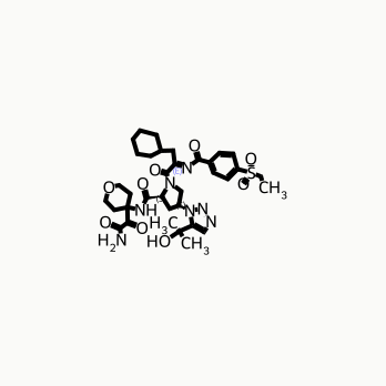 CCS(=O)(=O)c1ccc(C(=O)/N=C(\CC2CCCCC2)C(=O)N2C[C@@H](n3nncc3C(C)(C)O)C[C@H]2C(=O)NC2(C(=O)C(N)=O)CCOCC2)cc1